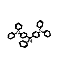 C1=CC(N(c2ccccc2)c2ccc(C(=Nc3ccccc3)c3ccc(N(c4ccccc4)c4ccccc4)cc3)cc2)=CCC1